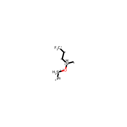 CC(C)[SiH2]O[SiH](C)CCC(F)(F)F